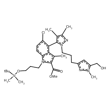 COC(=O)c1c(C)c2c(-c3c(C)c(C)nn3CCCc3cc(CO)n(C)n3)c(Cl)ccc2n1CCCO[Si](C)(C)C(C)(C)C